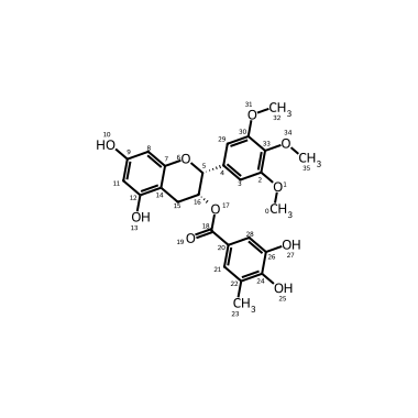 COc1cc([C@H]2Oc3cc(O)cc(O)c3C[C@H]2OC(=O)c2cc(C)c(O)c(O)c2)cc(OC)c1OC